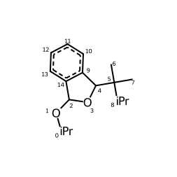 CC(C)OC1OC(C(C)(C)C(C)C)c2ccccc21